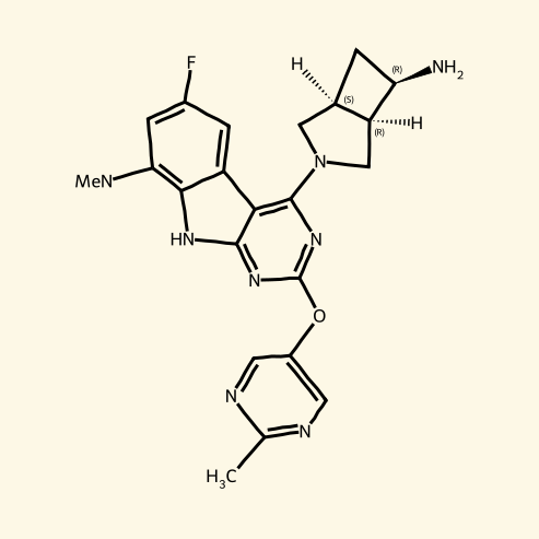 CNc1cc(F)cc2c1[nH]c1nc(Oc3cnc(C)nc3)nc(N3C[C@H]4C[C@@H](N)[C@H]4C3)c12